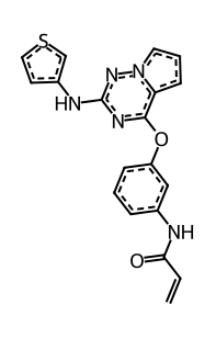 C=CC(=O)Nc1cccc(Oc2nc(Nc3ccsc3)nn3cccc23)c1